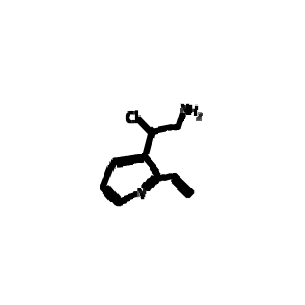 C=Cc1ncccc1C(Cl)CN